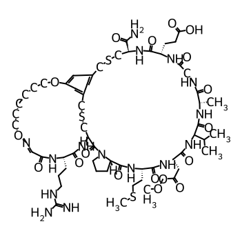 COOC(=O)C[C@@H]1NC(=O)[C@H](CCSC)NC(=O)[C@@H]2CCCN2C(=O)[C@@H]2CSCc3cc(cc(c3)OCCCCCCO/N=C/C(=O)N[C@@H](CCCNC(=N)N)C(=O)N2)CSC[C@@H](C(N)=O)NC(=O)[C@H](CCC(=O)O)NC(=O)CNC(=O)[C@H](C)NC(=O)C(C(C)C)NC1=O